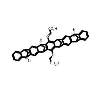 O=C(O)COc1c2c(c(OCC(=O)O)c3c1C1C[C@H]3c3cc4c(cc31)[C@@H]1CC4c3ccccc31)C1CC2c2cc3c(cc21)[C@@H]1CC3c2ccccc21